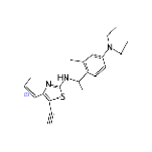 C#Cc1sc(NC(C)c2ccc(N(CC)CC)cc2C)nc1/C=C\C